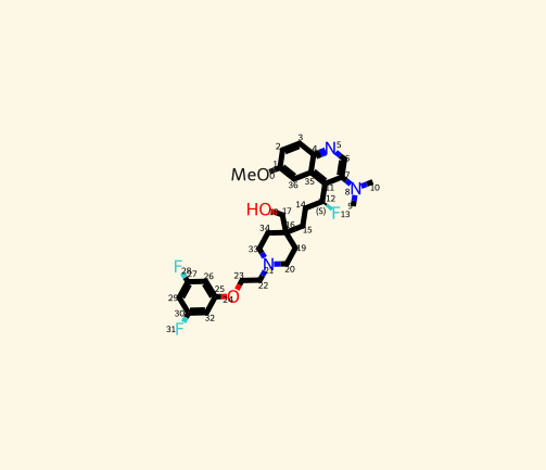 COc1ccc2ncc(N(C)C)c([C@@H](F)CCC3(CO)CCN(CCOc4cc(F)cc(F)c4)CC3)c2c1